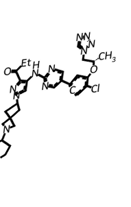 CCC(=O)c1nn(C2CC3(C2)CN(C2CCOCC2)C3)cc1Nc1ncc(-c2ccc(Cl)c(O[C@@H](C)Cn3cnnn3)c2)cn1